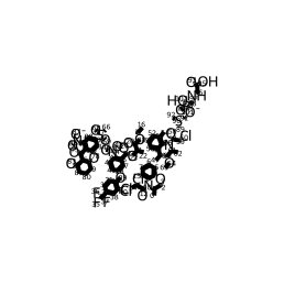 CC1COc2ccccc2N1C(=O)C(Cl)Cl.CCOC(=O)C(C)OC(=O)c1cc(Oc2ccc(C(F)(F)F)cc2Cl)ccc1[N+](=O)[O-].CCc1cccc(C)c1N(C(=O)CCl)C(C)COC.CS(=O)(=O)c1ccc(C(=O)C2C(=O)CCCC2=O)c([N+](=O)[O-])c1.C[S+](C)C.O=C(O)CNCP(=O)([O-])O